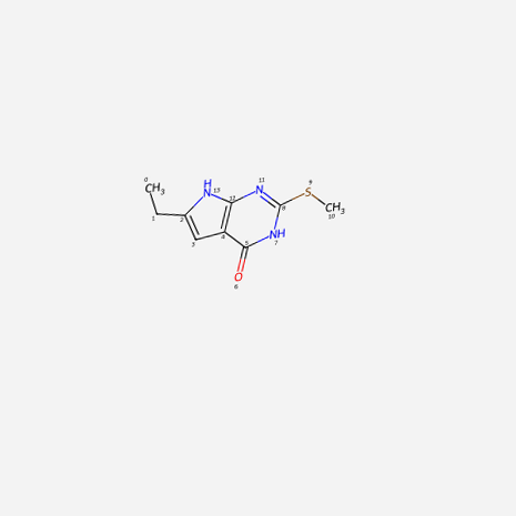 CCc1cc2c(=O)[nH]c(SC)nc2[nH]1